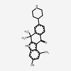 Cc1cc(C#N)cc2[nH]c3c(c12)C(=O)c1ccc(C2CCNCC2)cc1C3(C)C